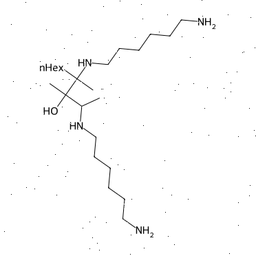 CCCCCCC(C)(NCCCCCCN)C(C)(O)C(C)NCCCCCCN